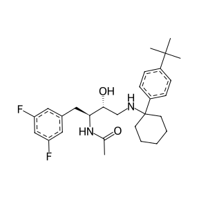 CC(=O)N[C@@H](Cc1cc(F)cc(F)c1)[C@H](O)CNC1(c2ccc(C(C)(C)C)cc2)CCCCC1